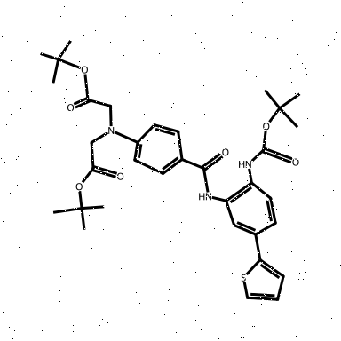 CC(C)(C)OC(=O)CN(CC(=O)OC(C)(C)C)c1ccc(C(=O)Nc2cc(-c3cccs3)ccc2NC(=O)OC(C)(C)C)cc1